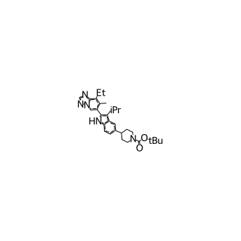 CCc1c(C)c(-c2[nH]c3ccc(C4CCN(C(=O)OC(C)(C)C)CC4)cc3c2C(C)C)cn2ncnc12